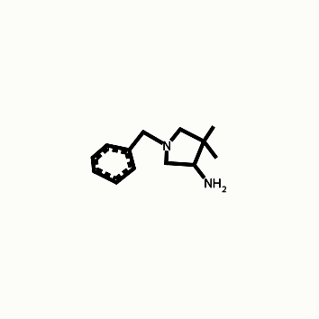 CC1(C)CN(Cc2ccccc2)CC1N